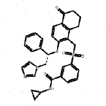 O=C(NC1CC1)c1cccc(S(=O)(=O)Cc2c(O[C@H](Cn3ccnc3)c3ccccc3)ccc3c2CCCC3=O)c1